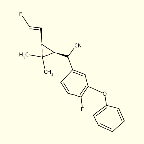 CC1(C)[C@H](C(C#N)c2ccc(F)c(Oc3ccccc3)c2)[C@@H]1/C=C/F